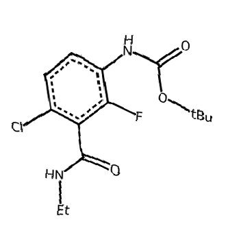 CCNC(=O)c1c(Cl)ccc(NC(=O)OC(C)(C)C)c1F